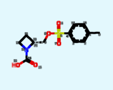 Cc1ccc(S(=O)(=O)OC[C@H]2CCN2C(=O)O)cc1